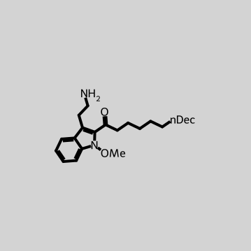 CCCCCCCCCCCCCCCC(=O)c1c(CCN)c2ccccc2n1OC